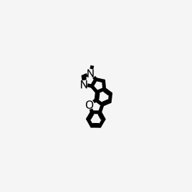 CN1C=NC2c3c(ccc4c3oc3ccccc34)CC21